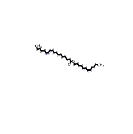 CCCC/C=C\C=C\CCCCOC(=O)CCCCCCCC/C=C\C=C/CCCCC